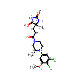 COc1cc(N2CCN(C(=O)CCC3(C)NC(=O)NC3=O)C[C@@H]2C)cc(Cl)c1F